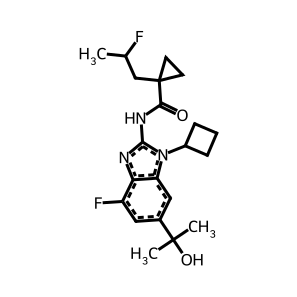 CC(F)CC1(C(=O)Nc2nc3c(F)cc(C(C)(C)O)cc3n2C2CCC2)CC1